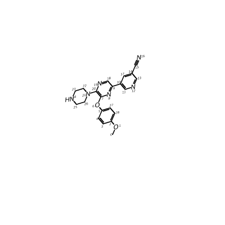 COc1ccc(Oc2nc(-c3cncc(C#N)c3)cnc2N2CCNCC2)cc1